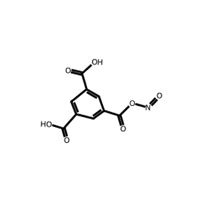 O=NOC(=O)c1cc(C(=O)O)cc(C(=O)O)c1